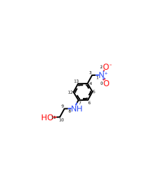 O=[N+]([O-])Cc1ccc(NCCO)cc1